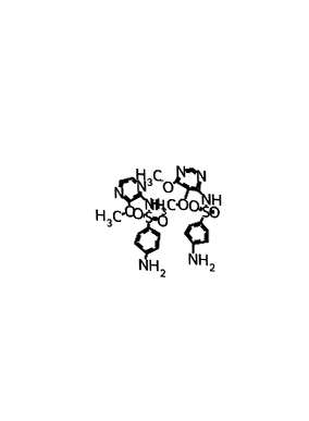 COc1nccnc1NS(=O)(=O)c1ccc(N)cc1.COc1ncnc(NS(=O)(=O)c2ccc(N)cc2)c1OC